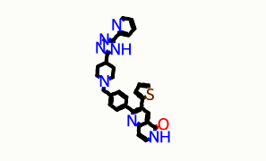 O=c1[nH]ccc2nc(-c3ccc(CN4CCC(c5nnc(-c6ccccn6)[nH]5)CC4)cc3)c(-c3cccs3)cc12